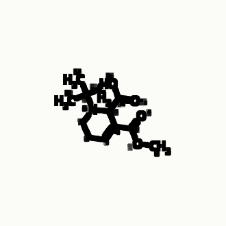 COC(=O)C1=CCCN(C(C)(C)C)C1C(=O)O